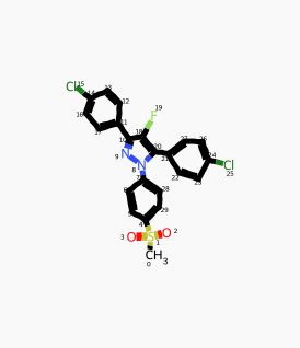 CS(=O)(=O)c1ccc(-n2nc(-c3ccc(Cl)cc3)c(F)c2-c2ccc(Cl)cc2)cc1